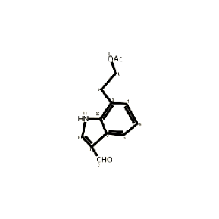 CC(=O)OCCc1cccc2c(C=O)c[nH]c12